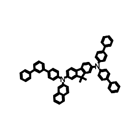 CC1(C)c2cc(N(c3ccc(-c4ccccc4)cc3)c3ccc(-c4ccccc4)cc3)ccc2-c2ccc(N(c3ccc(-c4cccc(-c5ccccc5)c4)cc3)c3ccc4ccccc4c3)cc21